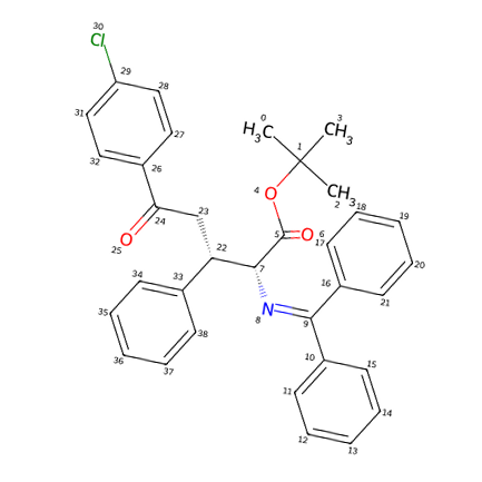 CC(C)(C)OC(=O)[C@H](N=C(c1ccccc1)c1ccccc1)[C@@H](CC(=O)c1ccc(Cl)cc1)c1ccccc1